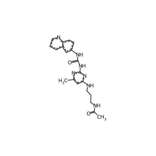 CC(=O)NCCCNc1cc(C)nc(NC(=O)Nc2ccc3ncccc3c2)n1